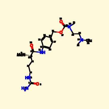 CN[C@@H](CCCNC(N)=O)C(=O)Nc1ccc(COC(=O)N(C)CCN(C)C(C)(C)C)cc1